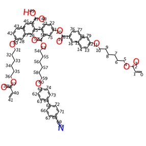 C=CC(=O)OCCCCCCOc1ccc2cc(C(=O)Oc3ccc(-c4cc5cc(OCCCCCCOC(=O)C=C)ccc5cc4C(=O)O)c(C(=O)OCCCCCCOc4ccc(-c5ccc(C#N)cc5)cc4)c3)ccc2c1